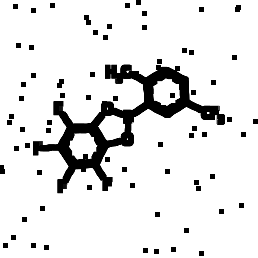 Cc1ccc(C(F)(F)F)cc1B1Oc2c(F)c(F)c(F)c(F)c2O1